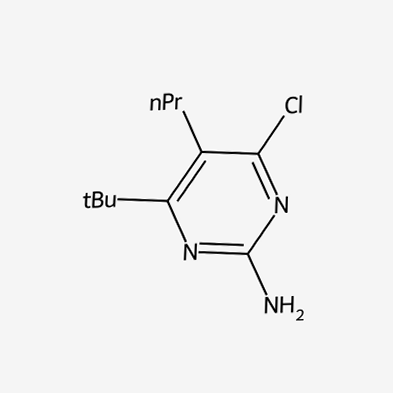 CCCc1c(Cl)nc(N)nc1C(C)(C)C